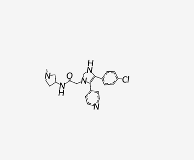 CN1CCC(NC(=O)CN2CNC(c3ccc(Cl)cc3)=C2c2ccncc2)C1